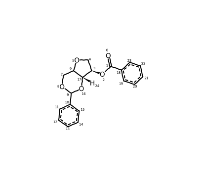 O=C(O[C@@H]1COC2COC(c3ccccc3)O[C@H]21)c1ccccc1